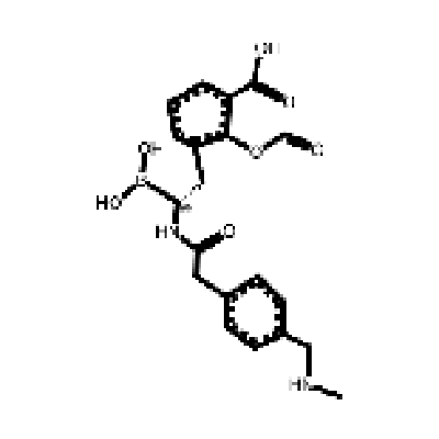 CNCc1ccc(CC(=O)N[C@@H](Cc2cccc(C(=O)O)c2OC=O)B(O)O)cc1